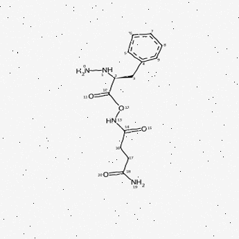 NN[C@@H](Cc1ccccc1)C(=O)ONC(=O)CCC(N)=O